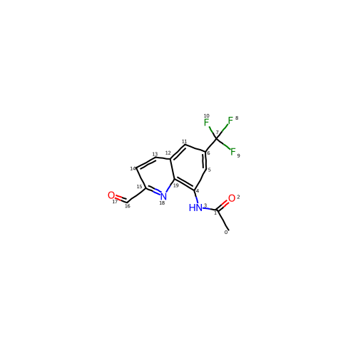 CC(=O)Nc1cc(C(F)(F)F)cc2ccc(C=O)nc12